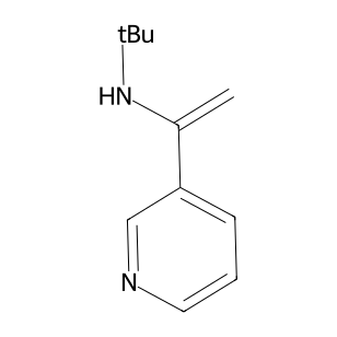 C=C(NC(C)(C)C)c1cccnc1